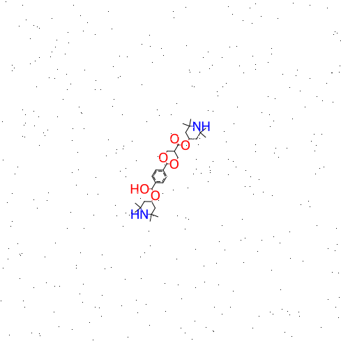 CC1(C)CC(OC(=O)C2COC(c3ccc(C(O)OC4CC(C)(C)NC(C)(C)C4)cc3)OC2)CC(C)(C)N1